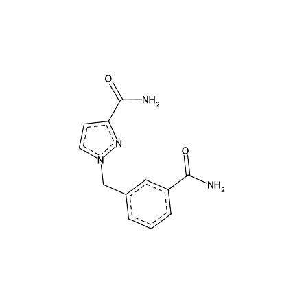 NC(=O)c1cccc(Cn2c[c]c(C(N)=O)n2)c1